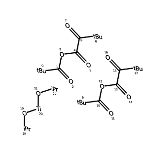 CC(C)(C)C(=O)OC(=O)C(=O)C(C)(C)C.CC(C)(C)C(=O)OC(=O)C(=O)C(C)(C)C.CC(C)[O][Ti][O]C(C)C